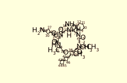 CCC[C@H]1C(=O)N[C@@H](C2CCCCC2)C(=O)N[C@@H](CN)C(=O)N[C@@H](COC2CC(N)C2)C(=O)N[C@H](C)CO[C@H](CC2CC3(CCC3)C2)[C@@H](C)C(=O)N1C